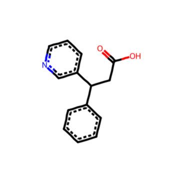 O=C(O)CC(c1ccccc1)c1cccnc1